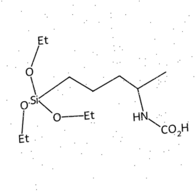 CCO[Si](CCCC(C)NC(=O)O)(OCC)OCC